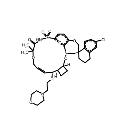 CC1(C)OCC=C[C@H](OCCN2CCOCC2)[C@@H]2CC[C@H]2CN2C[C@@]3(CCCc4cc(Cl)ccc43)COc3ccc(cc32)S(=O)(=O)NC1=O